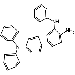 Nc1ccccc1Nc1ccccc1.c1ccc(N(c2ccccc2)c2ccccc2)cc1